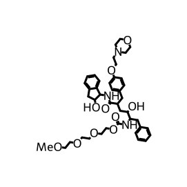 COCCOCCOCCOC(=O)NC(Cc1ccccc1)C(O)CC(Cc1ccc(OCCN2CCOCC2)cc1)C(=O)NC1c2ccccc2CC1O